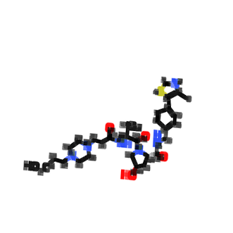 Cc1ncsc1-c1ccc(CNC(=O)[C@@H]2C[C@@H](O)CN2C(=O)C(NC(=O)CCN2CCN(CCC(=O)O)CC2)C(C)(C)C)cc1